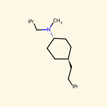 CC(C)CC[C@H]1CC[C@H](N(C)CC(C)C)CC1